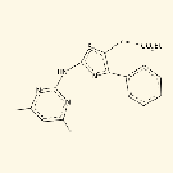 CCOC(=O)Cc1sc(Nc2nc(C)cc(C)n2)nc1-c1ccccc1